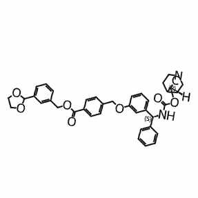 O=C(N[C@@H](c1ccccc1)c1cccc(OCc2ccc(C(=O)OCc3cccc(C4OCCO4)c3)cc2)c1)O[C@H]1CN2CCC1CC2